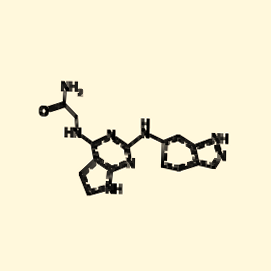 NC(=O)CNc1nc(Nc2ccc3cn[nH]c3c2)nc2[nH]ccc12